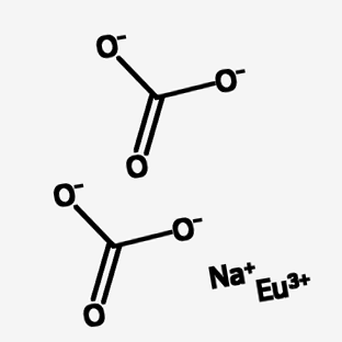 O=C([O-])[O-].O=C([O-])[O-].[Eu+3].[Na+]